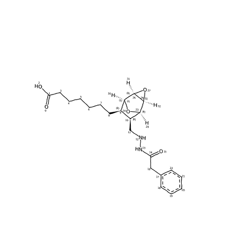 O=C(O)CCCCCC[C@@H]1[C@H](CNNC(=O)Cc2ccccc2)[C@H]2O[C@@H]1[C@H]1O[C@H]12